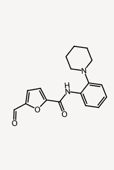 O=Cc1ccc(C(=O)Nc2ccccc2N2CCCCC2)o1